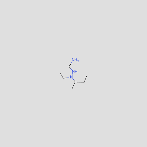 [CH2]CC(C)N(CC)NCN